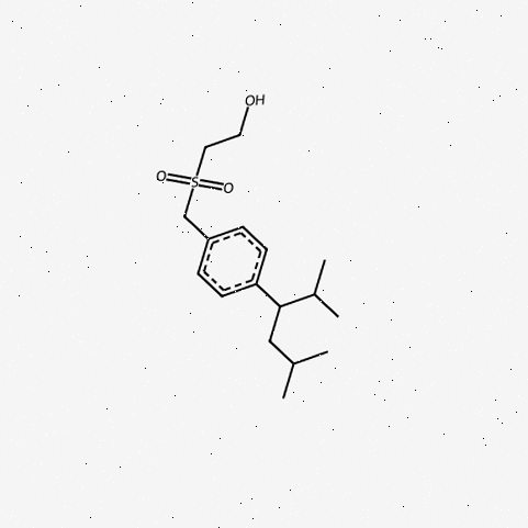 CC(C)CC(c1ccc(CS(=O)(=O)CCO)cc1)C(C)C